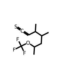 CC(CC(C)C(C)C=C=S)OC(F)(F)F